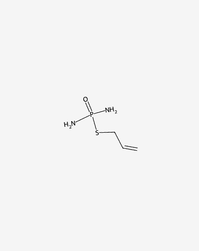 C=CCSP(N)(N)=O